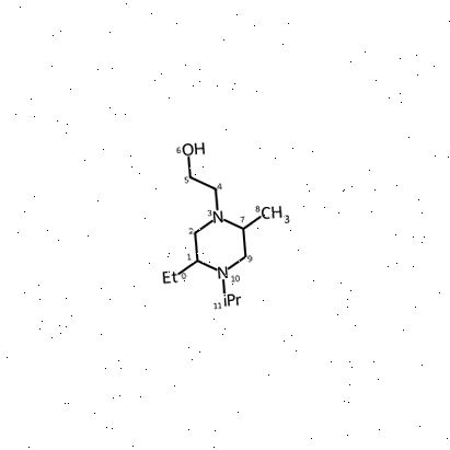 CCC1CN(CCO)C(C)CN1C(C)C